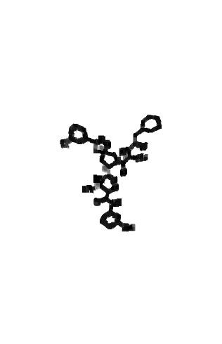 CCC[C@H](NC(=O)[C@@H]1C[C@]2(CC(c3cccc(Cl)c3)=NO2)CN1C(=O)[C@@H](NC(=O)CC1CCCCC1)C(C)(C)C)C(=O)C(=O)Nc1cccc(C(C)=O)c1